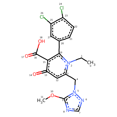 CCn1c(Cn2ncnc2OC)cc(=O)c(C(=O)O)c1-c1ccc(Cl)c(Cl)c1